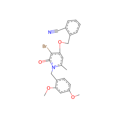 COc1ccc(Cn2c(C)cc(OCc3ccccc3C#N)c(Br)c2=O)c(OC)c1